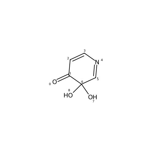 O=C1C=CN=[C]C1(O)O